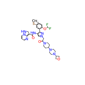 CSc1ccc(OC(F)F)c(-c2nn(CC(=O)N3CCC(N4CCN(C5COC5)CC4)CC3)cc2NC(=O)C2=C3N=CC=CN3NC2)c1